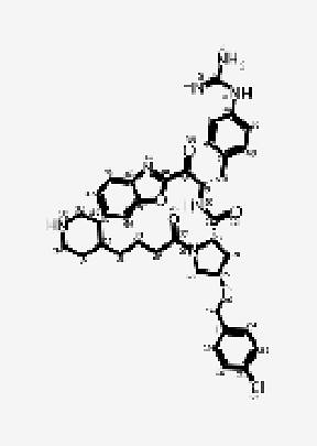 N=C(N)Nc1ccc(C[C@H](NC(=O)[C@@H]2C[C@@H](OCc3ccc(Cl)cc3)CN2C(=O)CCCC2CCNCC2)C(=O)c2nc3ccccc3o2)cc1